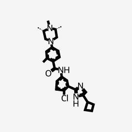 Cc1cc(N2C[C@@H](C)N(C)[C@@H](C)C2)ccc1C(=O)Nc1ccc(Cl)c(-c2ncc(C3CCC3)[nH]2)c1